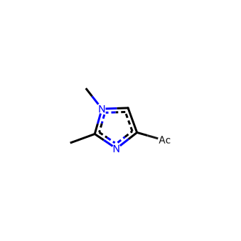 CC(=O)c1cn(C)c(C)n1